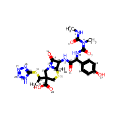 CNC(=O)N(C)C(=O)NC(C(=O)NC1C(=O)N2CC(C(=O)O)(C(C)Sc3nnn[nH]3)CS[C@H]12)c1ccc(O)cc1